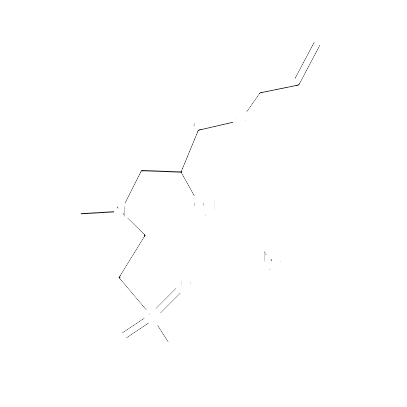 C=CCOCC(O)CN(C)CCS(=O)(=O)[O-].[Na+]